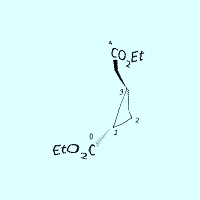 CCOC(=O)[C@H]1C[C@@H]1C(=O)OCC